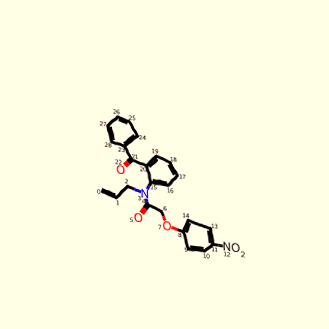 C=CCN(C(=O)COc1ccc([N+](=O)[O-])cc1)c1ccccc1C(=O)c1ccccc1